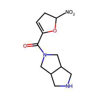 O=C(C1=CCC([N+](=O)[O-])O1)N1CC2CNCC2C1